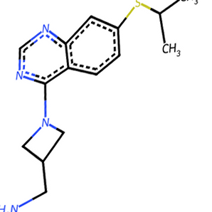 CC(C)Sc1ccc2c(N3CC(CN)C3)ncnc2c1